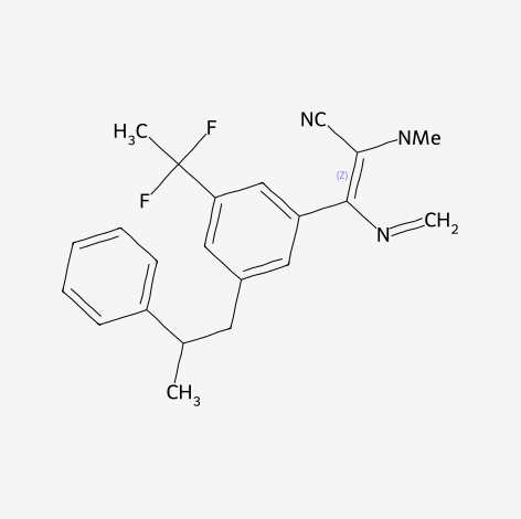 C=N/C(=C(/C#N)NC)c1cc(CC(C)c2ccccc2)cc(C(C)(F)F)c1